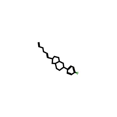 C=CCC/C=C/C1CCC2CC(c3ccc(F)cc3)CCC2C1